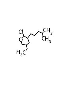 CCC1COC(Cl)C(CCCC(C)C)C1